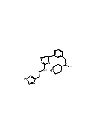 CCN(Cc1cccc(-c2ccnc(NCCc3nn[nH]n3)n2)c1)C1CCNCC1